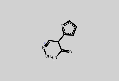 NC(=O)C(/C=N\O)c1cccs1